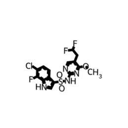 COc1nc(NS(=O)(=O)c2c[nH]c3c(F)c(Cl)ccc23)ncc1CC(F)F